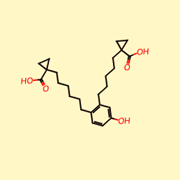 O=C(O)C1(CCCCCCc2ccc(O)cc2CCCCCC2(C(=O)O)CC2)CC1